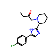 CCC(=O)CN1CCCCC1c1ncc(-c2ccc(Cl)cc2)[nH]1